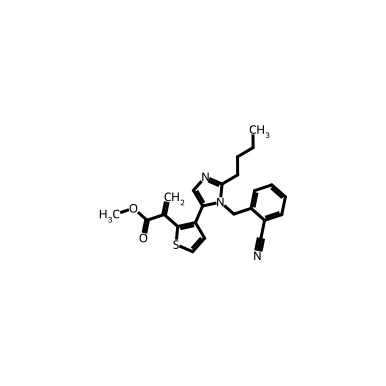 C=C(C(=O)OC)c1sccc1-c1cnc(CCCC)n1Cc1ccccc1C#N